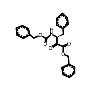 O=C(N[C@@H](Cc1ccccc1)C(=O)C(=O)OCc1ccccc1)OCc1ccccc1